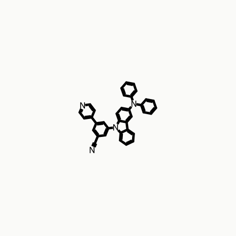 N#Cc1cc(-c2ccncc2)cc(-n2c3ccccc3c3cc(N(c4ccccc4)c4ccccc4)ccc32)c1